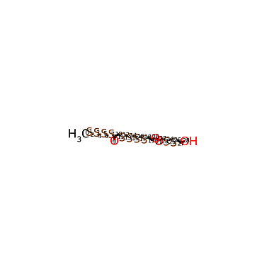 CSCSCSCSC(=O)CSCSCSCSCCOOCSCSCCO